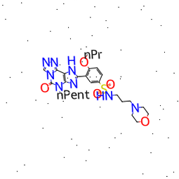 CCCCCn1c(=O)n2cnnc2c2[nH]c(-c3cc(S(=O)(=O)NCCCN4CCOCC4)ccc3OCCC)nc21